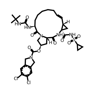 CC(C)(C)NC(=O)N[C@H]1CCCCC/C=C/[C@@H]2C[C@@]2(C(=O)NS(=O)(=O)C2CC2)NC(=O)[C@@H]2C[C@@H](OC(=O)N3Cc4cc(Cl)c(Cl)cc4C3)CN2C1=O